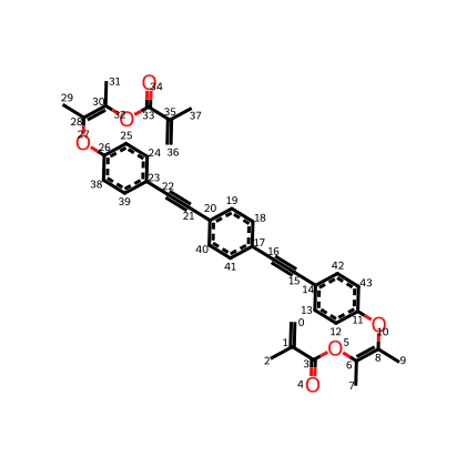 C=C(C)C(=O)OC(C)=C(C)Oc1ccc(C#Cc2ccc(C#Cc3ccc(OC(C)=C(C)OC(=O)C(=C)C)cc3)cc2)cc1